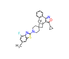 Cc1cc(F)c2nc(N3CCC4(CC3)CC(c3c(-c5ccccc5C(F)(F)F)noc3C3CC3)C4)sc2c1